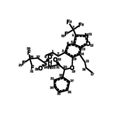 CCCc1cc2c(C(F)(F)F)noc2c(CCC)c1OC(C(=O)NS(=O)(=O)CC(F)(F)F)c1ccccc1